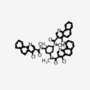 CN(C(=O)c1cnc2c(ccc3ccccc32)c1Cl)C1CC(N(C)C(=O)c2cnc3c(ccc4ccccc43)c2Cl)CC(N(C)C(=O)c2cnc3c(ccc4ccccc43)c2Cl)C1